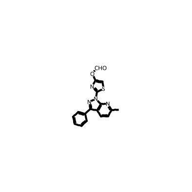 Cc1ccc2c(-c3ccccc3)nn(-c3nc(OC=O)cs3)c2n1